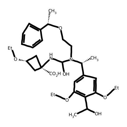 CCOc1cc([C@@H](C)N(CCO[C@@H](C)c2ccccc2)C(O)N[C@]2(C(=O)O)C[C@@H](OCC)C2)cc(OCC)c1C(C)O